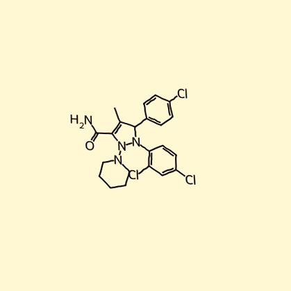 CC1=C(C(N)=O)N(N2CCCCC2)N(c2ccc(Cl)cc2Cl)C1c1ccc(Cl)cc1